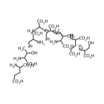 CC(C)C(N)C(=O)O.CC(C)CC(N)C(=O)O.CC(C)CC(N)C(=O)O.CC(O)C(N)C(=O)O.CC(O)C(N)C(=O)O.NC(CCC(=O)O)C(=O)O.NC(CCC(=O)O)C(=O)O.NC(CO)C(=O)O